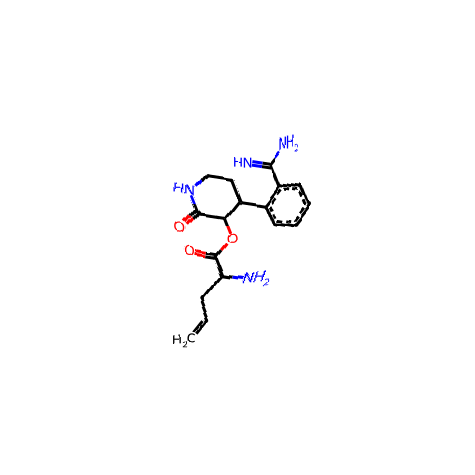 C=CCC(N)C(=O)OC1C(=O)NCCC1c1ccccc1C(=N)N